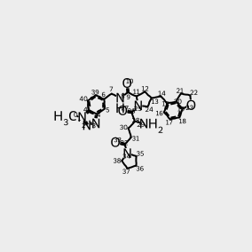 Cn1nnc2cc(CNC(=O)C3CC(Cc4cccc5c4CCO5)CN3C(=O)C(N)CCC(=O)N3CCCC3)ccc21